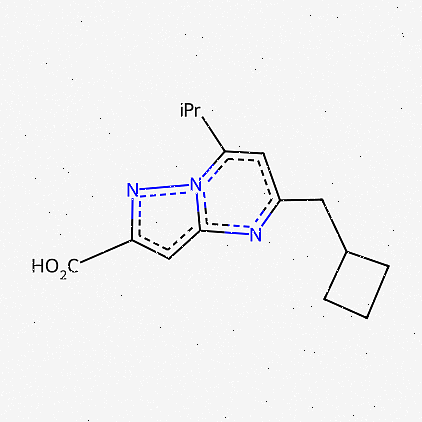 CC(C)c1cc(CC2CCC2)nc2cc(C(=O)O)nn12